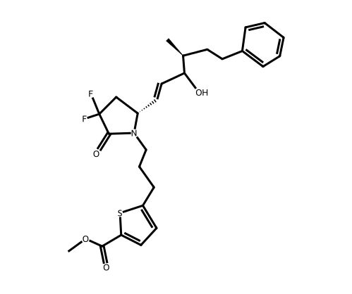 COC(=O)c1ccc(CCCN2C(=O)C(F)(F)C[C@@H]2C=CC(O)[C@@H](C)CCc2ccccc2)s1